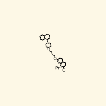 CC(C)n1c(=O)ccc2ccc(OCCCCN3CCN(C4=CCCc5ccccc54)CC3)nc21